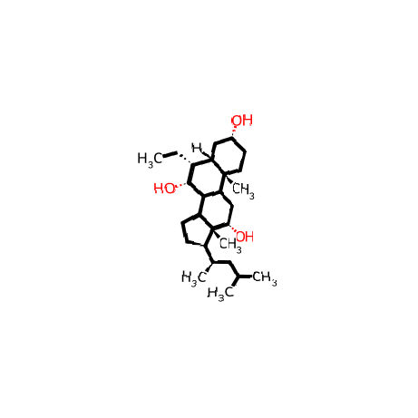 CC[C@H]1[C@@H](O)C2C3CC[C@H]([C@H](C)CC(C)C)[C@@]3(C)[C@@H](O)CC2[C@@]2(C)CC[C@@H](O)C[C@@H]12